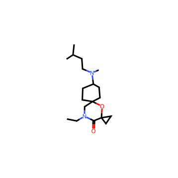 CCN1CC2(CCC(N(C)CCC(C)C)CC2)OC2(CC2)C1=O